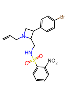 C=CCN1CC(c2ccc(Br)cc2)C1CNS(=O)(=O)c1ccccc1[N+](=O)[O-]